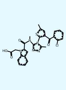 Cc1cc(C(=O)c2ccccc2Cl)c(-n2c(C)nnc2N(C)C(=O)c2cc3ccccc3n2CC(=O)O)s1